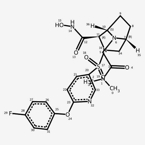 CN(C)C(=O)CN1[C@@H]2CC[C@H]1[C@H](C(=O)NO)N(S(=O)(=O)c1ccc(Oc3ccc(F)cc3)nc1)C2